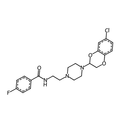 O=C(NCCN1CCN(C2COc3ccc(Cl)cc3O2)CC1)c1ccc(F)cc1